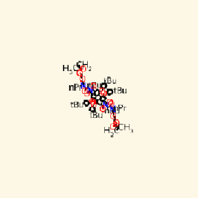 C=C(C)C(=O)OCCOCCN(CCC)C(=O)C(CCCC)N1C(=O)c2cc(Oc3ccc(C(C)(C)C)cc3)c3c4c(Oc5ccc(C(C)(C)C)cc5)cc5c6c(cc(Oc7ccc(C(C)(C)C)cc7)c(c7c(Oc8ccc(C(C)(C)C)cc8)cc(c2c37)C1=O)c64)C(=O)N(C(CCCC)C(=O)N(CCC)CCOCCOC(=O)C(=C)C)C5=O